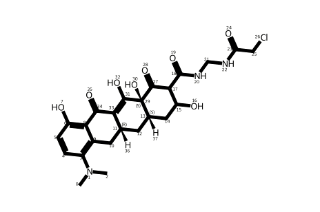 CN(C)c1ccc(O)c2c1C[C@H]1C[C@H]3CC(O)C(C(=O)NCNC(=O)CCl)C(=O)[C@@]3(O)C(O)=C1C2=O